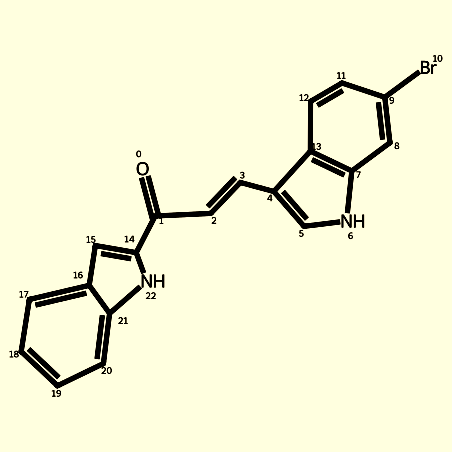 O=C(/C=C/c1c[nH]c2cc(Br)ccc12)c1cc2ccccc2[nH]1